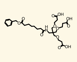 O=C(O)CCOCC(CNC(=O)CCCCCCC(=O)OCc1ccccc1)(COCCC(=O)O)COCCC(=O)O